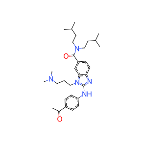 CC(=O)c1ccc(Nc2nc3ccc(C(=O)N(CCC(C)C)CCC(C)C)cc3n2CCCN(C)C)cc1